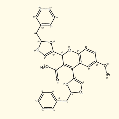 COC(=O)C1=C(C2=COC(Cc3ccccc3)O2)c2cc(OC(C)C)ccc2OC1C1=COC(Cc2ccccc2)O1